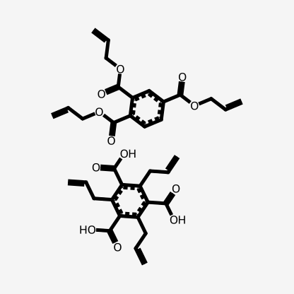 C=CCOC(=O)c1ccc(C(=O)OCC=C)c(C(=O)OCC=C)c1.C=CCc1c(C(=O)O)c(CC=C)c(C(=O)O)c(CC=C)c1C(=O)O